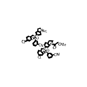 CC(=O)N1CCc2cc(N(Cc3ccc(Cl)cc3)S(=O)(=O)c3cccc(C#N)c3)ccc21.COCC(=O)N1CCc2ccc(N(Cc3ccc(Cl)cc3)S(=O)(=O)c3cccc(C#N)c3)cc21